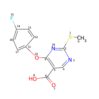 CSc1ncc(C(=O)O)c(Oc2ccc(F)cc2)n1